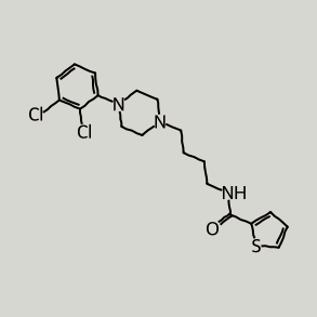 O=C(NCCCCN1CCN(c2cccc(Cl)c2Cl)CC1)c1cccs1